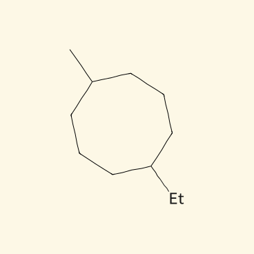 CCC1CCCC(C)CCC1